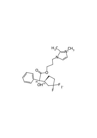 Cc1n(CCCOC(=O)[C@](O)(c2ccccc2)[C@H]2CCC(F)(F)C2)cc[n+]1C.[I-]